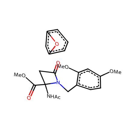 COC(=O)C1(NC(C)=O)CC(=O)N1Cc1ccc(OC)cc1OC.c1cc2cc(c1)O2